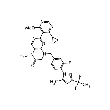 COc1ncnc(C2CC2)c1-c1ncc2c(n1)N(Cc1ccc(-n3nc(C(C)(F)F)cc3C)c(F)c1)CC(=O)N2C